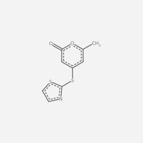 Cc1cc(Sc2nccs2)cc(=O)o1